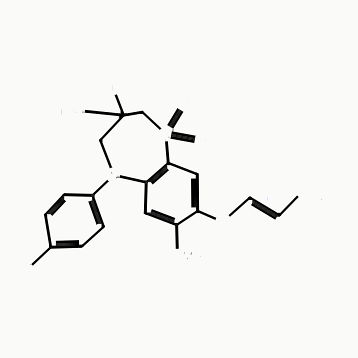 CCCCC1(CC)CN(c2ccc(F)cc2)c2cc(SC)c(O/C=C/C(=O)O)cc2S(=O)(=O)C1